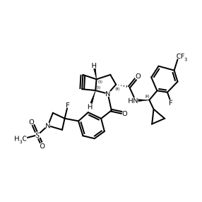 CS(=O)(=O)N1CC(F)(c2cccc(C(=O)N3[C@@H](C(=O)N[C@@H](c4ccc(C(F)(F)F)cc4F)C4CC4)C[C@H]4C#C[C@H]43)c2)C1